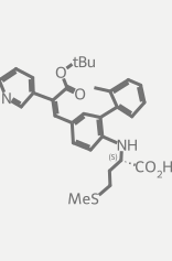 CSCC[C@H](Nc1ccc(C=C(C(=O)OC(C)(C)C)c2cccnc2)cc1-c1ccccc1C)C(=O)O